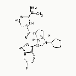 CN[C@@H](C)C(=O)N[C@@H](CO)C(=O)N1CC[C@@H]2[C@H]1[C@H](c1c[nH]c3cc(F)ccc13)CN2C1CCCC1